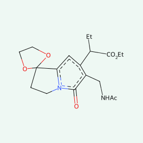 CCOC(=O)C(CC)c1cc2n(c(=O)c1CNC(C)=O)CCC21OCCO1